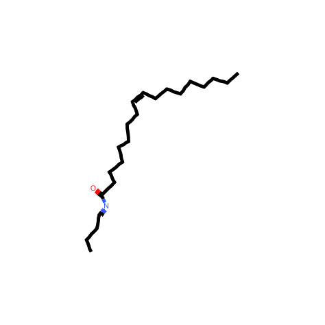 CCCC=NC(=O)CCCCCCC/C=C\CCCCCCCC